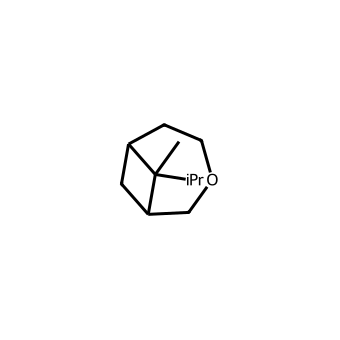 CC(C)C1(C)C2CCOCC1C2